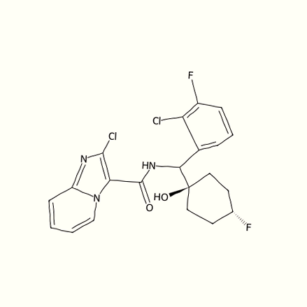 O=C(NC(c1cccc(F)c1Cl)[C@]1(O)CC[C@H](F)CC1)c1c(Cl)nc2ccccn12